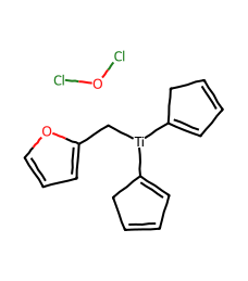 C1=CC[C]([Ti]([CH2]c2ccco2)[C]2=CC=CC2)=C1.ClOCl